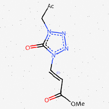 COC(=O)/C=C/n1nnn(CC(C)=O)c1=O